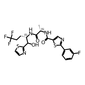 C[C@H](NC(=O)c1cnc(-c2cccc(F)c2)s1)C(=O)N[C@@H](CCC(F)(F)F)C(O)c1nccs1